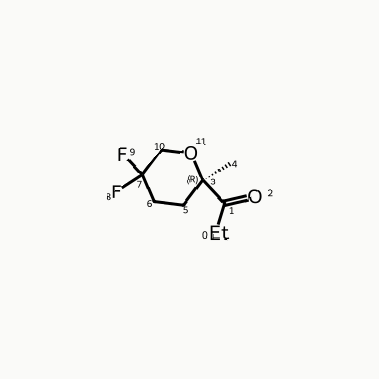 CCC(=O)[C@@]1(C)CCC(F)(F)CO1